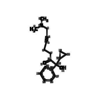 CN(C)CC#CCCC(=O)C(O)(c1ccccc1)C1CC1